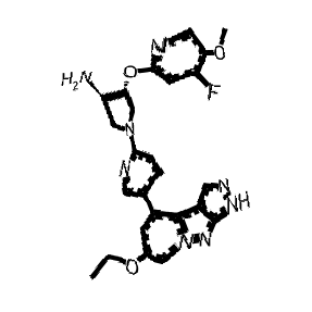 CCOc1cc(-c2ccc(N3C[C@@H](N)[C@H](Oc4cc(F)c(OC)cn4)C3)nc2)c2c3cn[nH]c3nn2c1